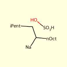 CCCCCCCC[CH]([Na])CC(C)CCC.O=S(=O)(O)O